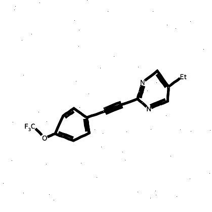 CCc1cnc(C#Cc2ccc(OC(F)(F)F)cc2)nc1